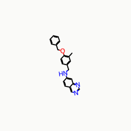 Cc1cc(CNc2ccc3cncnc3c2)ccc1OCc1ccccc1